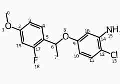 COc1ccc(C(C)Oc2ccc(Cl)c(N)c2)c(F)c1